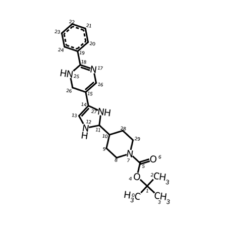 CC(C)(C)OC(=O)N1CCC(C2NC=C(C3=CN=C(c4ccccc4)NC3)N2)CC1